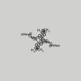 CCCCCCC(=O)OCCC1CCN(CCCN2c3cccc(S(=O)(=O)N(C)C)c3Sc3ccc(OC)c(OC(=O)C(=O)Oc4c(OC)ccc5c4N(CCCN4CCC(CCOC(=O)CCCCCC)CC4)c4cccc(S(=O)(=O)N(C)C)c4S5)c32)CC1